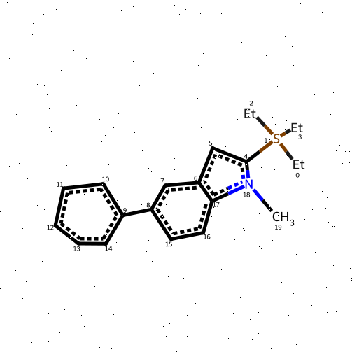 CCS(CC)(CC)c1cc2cc(-c3ccccc3)ccc2n1C